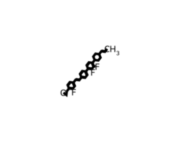 C/C=C/C1CCC(c2ccc(-c3ccc(/C=C/c4ccc(C5CO5)c(F)c4)cc3)c(F)c2F)CC1